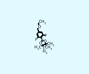 CCOCc1cc(F)c(B2OC(C)(C)C(C)(C)O2)c(F)c1